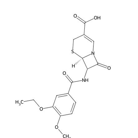 CCOc1cc(C(=O)NC2C(=O)N3C=C(C(=O)O)CS[C@H]23)ccc1OC